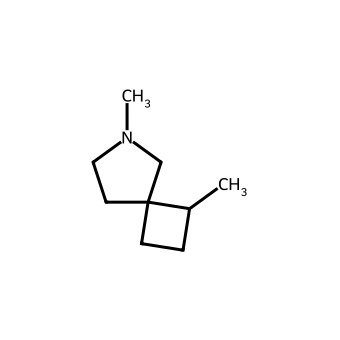 CC1CCC12CCN(C)C2